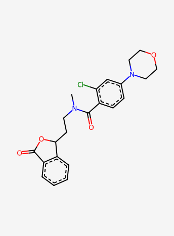 CN(CCC1OC(=O)c2ccccc21)C(=O)c1ccc(N2CCOCC2)cc1Cl